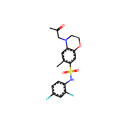 CC(=O)CN1CCOc2cc(S(=O)(=O)Nc3ccc(F)cc3F)c(C)cc21